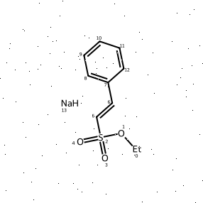 CCOS(=O)(=O)C=Cc1ccccc1.[NaH]